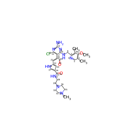 COc1c(C)cnc(CNc2nc(N)nc(Cl)c2/C(C=O)=C/c2cc(C(=O)NCCN3CCN(C)CC3)c[nH]2)c1C